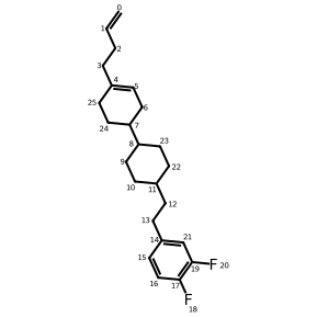 C=CCCC1=CCC(C2CCC(CCc3ccc(F)c(F)c3)CC2)CC1